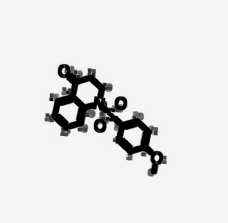 COc1ccc(S(=O)(=O)N2CCC(=O)c3ccccc32)cc1